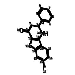 O=C1CC(c2ccccc2)Nc2c1sc1cc(F)ccc21